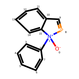 [O-][N+]1(c2ccccc2)P=Cc2ccccc21